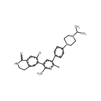 CC(C)N1CCN(c2ccc(-c3cc(-c4cc5c(cc4Cl)C(=O)NCC5)c(N)nc3F)cc2)CC1